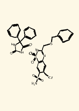 NS(=O)(=O)c1cc2c(cc1Cl)N=C(CSCc1ccccc1)NS2(=O)=O.O=C1NC(=O)C(c2ccccc2)(c2ccccc2)N1